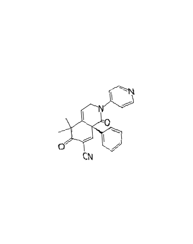 CC1(C)C(=O)C(C#N)=C[C@@]2(c3ccccc3)C(=O)N(c3ccncc3)CC=C12